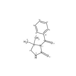 CC1(C)CNC(=O)N1C(=O)c1ccccc1